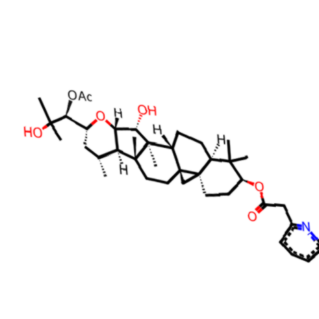 CC(=O)O[C@@H]([C@H]1C[C@@H](C)[C@H]2[C@H](O1)[C@H](O)[C@@]1(C)[C@@H]3CC[C@H]4C(C)(C)[C@@H](OC(=O)Cc5ccccn5)CC[C@@]45C[C@@]35CC[C@]21C)C(C)(C)O